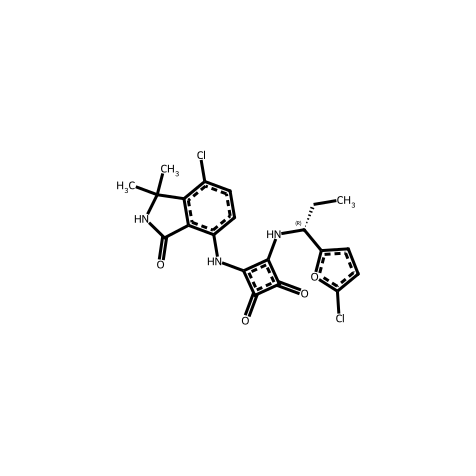 CC[C@@H](Nc1c(Nc2ccc(Cl)c3c2C(=O)NC3(C)C)c(=O)c1=O)c1ccc(Cl)o1